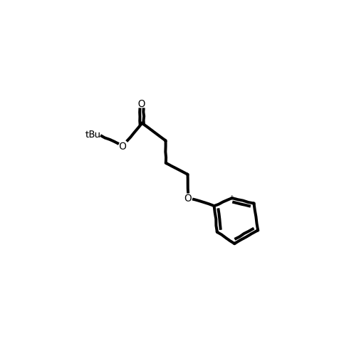 CC(C)(C)OC(=O)CCCOc1[c]cccc1